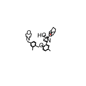 Cc1ccc(OCc2ccc(CN3CCOCC3)cc2C)c(-c2csc(N3CC4CCC(C3)C4C(=O)O)n2)c1